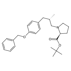 C[C@@H](Cc1ccc(OCc2ccccc2)cc1)CN1CCC[C@H]1C(=O)OC(C)(C)C